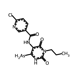 CCCn1c(=O)[nH]c([AsH2])c(NC(=O)c2ccc(Cl)nc2)c1=O